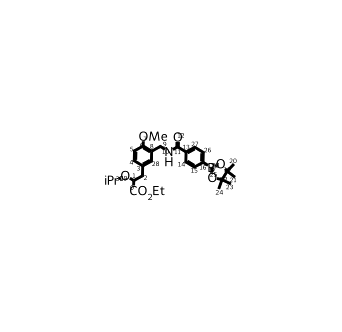 CCOC(=O)C(Cc1ccc(OC)c(CNC(=O)c2ccc(B3OC(C)(C)C(C)(C)O3)cc2)c1)OC(C)C